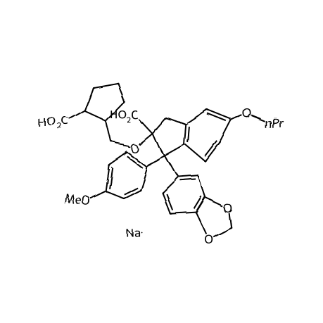 CCCOc1ccc2c(c1)CC(OCC1CCCC1C(=O)O)(C(=O)O)C2(c1ccc(OC)cc1)c1ccc2c(c1)OCO2.[Na]